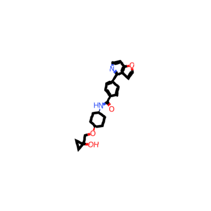 O=C(N[C@H]1CC[C@H](OCC2(O)CC2)CC1)c1ccc(-c2nccc3occc23)cc1